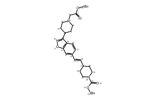 CC(C)(C)OC(=O)CN1CCC(c2noc3cc(/C=C/C4CCN(C(=O)OC(C)(C)C)CC4)ccc23)CC1